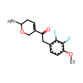 CCCC1CC=C(C(=O)Cc2ccc(OCC)c(F)c2F)CO1